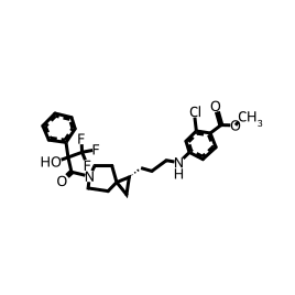 COC(=O)c1ccc(NCCC[C@@H]2CC23CCN(C(=O)C(O)(c2ccccc2)C(F)(F)F)CC3)cc1Cl